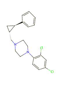 Clc1ccc(N2CCN(C[C@@H]3C[C@H]3c3ccccc3)CC2)c(Cl)c1